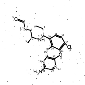 CC[C@@H](N[C@@H](C)CNC=O)c1ccc(Cl)c(Oc2cnc(N)cn2)c1F